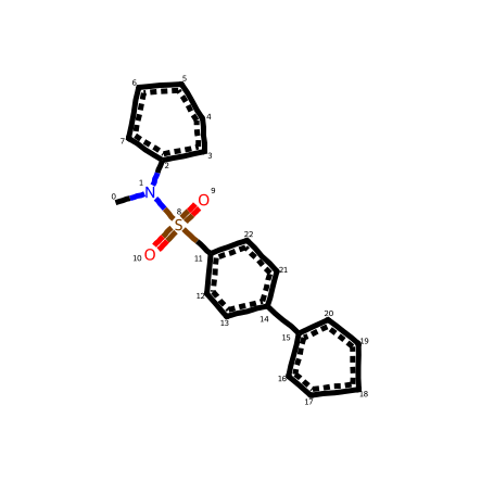 CN(c1ccccc1)S(=O)(=O)c1ccc(-c2ccccc2)cc1